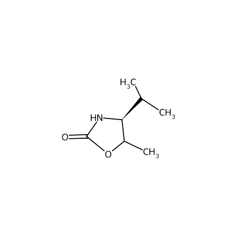 CC(C)[C@@H]1NC(=O)OC1C